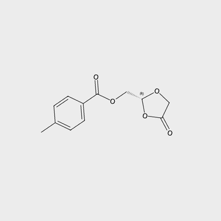 Cc1ccc(C(=O)OC[C@@H]2OCC(=O)O2)cc1